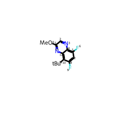 COc1cnc2c(F)cc(F)c(C(C)(C)C)c2n1